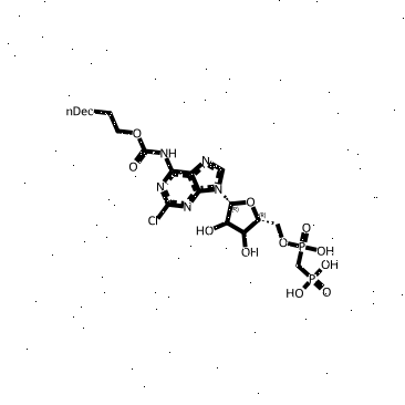 CCCCCCCCCCCCOC(=O)Nc1nc(Cl)nc2c1ncn2[C@@H]1O[C@H](COP(=O)(O)CP(=O)(O)O)C(O)C1O